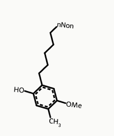 CCCCCCCCCCCCCCc1cc(OC)c(C)cc1O